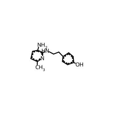 Cc1ccc(N)c(NCCc2ccc(O)cc2)n1